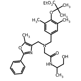 CCOC(=O)C(C)(C)Oc1c(C)cc(CN(CC(=O)NC(C)CO)Cc2nc(-c3ccccc3)oc2C)cc1C